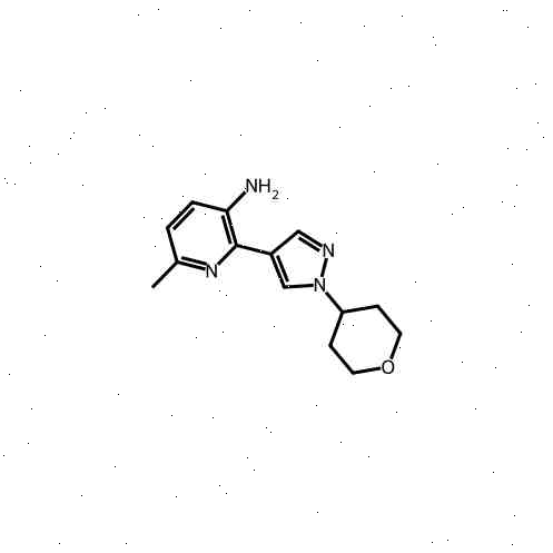 Cc1ccc(N)c(-c2cnn(C3CCOCC3)c2)n1